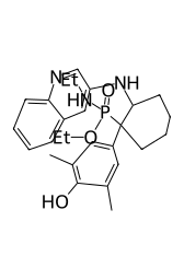 CCNP(=O)(OCC)C1(c2cc(C)c(O)c(C)c2)CCCCC1Nc1cnc2ccccc2c1